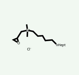 CCCCCCCCCCCC[N+](C)(C)CC1CO1.[Cl-]